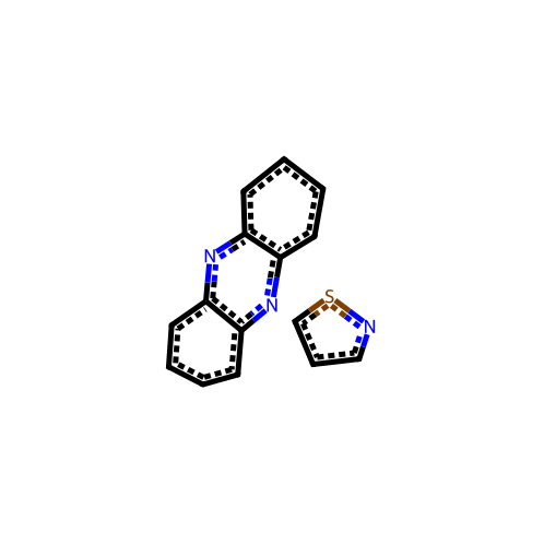 c1ccc2nc3ccccc3nc2c1.c1cnsc1